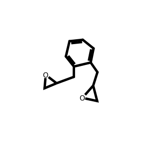 c1ccc(CC2CO2)c(CC2CO2)c1